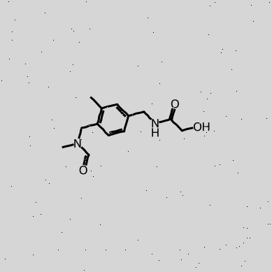 Cc1cc(CNC(=O)CO)ccc1CN(C)C=O